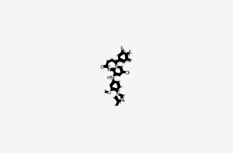 COc1cc(NC2=CC(Cl)=CN3C2=NC(=O)CCC3c2cc(F)c(F)c(F)c2)ccc1-n1cnc(C)c1